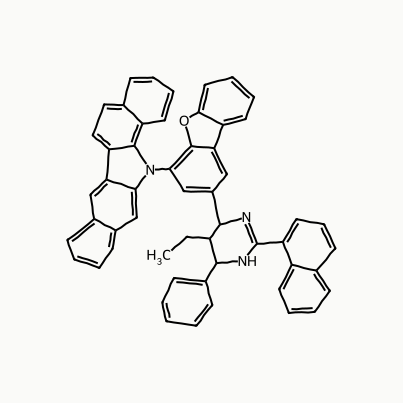 CCC1C(c2cc(-n3c4cc5ccccc5cc4c4ccc5ccccc5c43)c3oc4ccccc4c3c2)N=C(c2cccc3ccccc23)NC1c1ccccc1